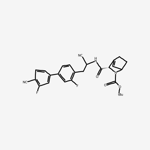 CC(C)(C)OC(=O)N1C2C=C(CC2)[C@H]1C(=O)NC(C#N)Cc1ccc(-c2ccc(C#N)c(F)c2)cc1F